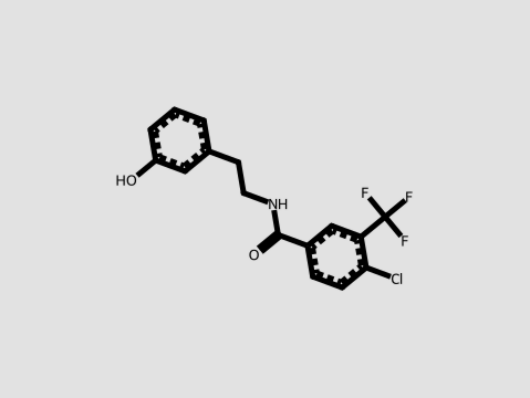 O=C(NCCc1cccc(O)c1)c1ccc(Cl)c(C(F)(F)F)c1